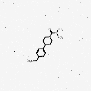 CCc1ccc(C2CCN(C(=O)N(C)C)CC2)cc1